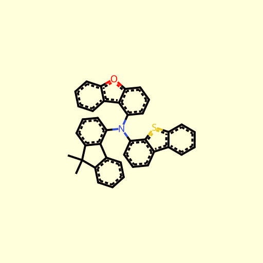 CC1(C)c2ccccc2-c2c(N(c3cccc4c3sc3ccccc34)c3cccc4oc5ccccc5c34)cccc21